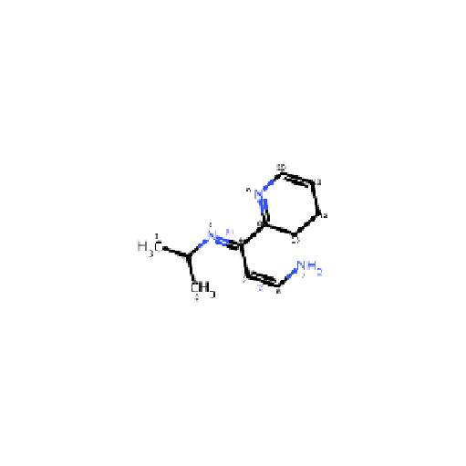 CC(C)/N=C(\C=C/N)C1=NC=CCC1